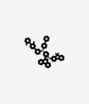 Cc1ccccc1-c1ccc(-c2cccc(N(c3ccc(-c4ccccc4)cc3)c3ccc4c(c3)c3c5ccccc5c5ccccc5c3n4-c3ccc4c(c3)C(C)(C)c3ccccc3-4)c2)cc1C